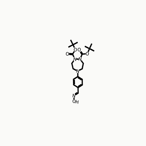 CC(C)(C)OC(=O)N1CCN(c2ccc(C=NO)cc2)CCN1C(=O)OC(C)(C)C